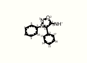 [NH-]c1on[n+](-c2ccccc2)c1-c1ccccc1